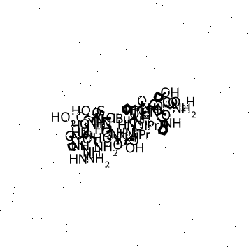 CC[C@H](C)[C@H](NC(=O)[C@@H](NC(=O)[C@@H](NC(=O)[C@H](CO)NC(=O)CNC(=O)[C@H](CC(=O)O)NC(=O)[C@H](CCC(=O)O)NC(=O)[C@H](CCCCN)NC(=O)[C@H](CCCNC(=N)N)NC(=O)[C@@H]1CCCN1)[C@@H](C)O)C(C)C)C(=O)N[C@@H](CC(C)C)C(=O)N[C@@H](Cc1ccccc1)C(=O)N[C@@H](Cc1ccc(O)cc1)C(=O)N[C@@H](Cc1c[nH]c2ccccc12)C(=O)N[C@@H](CC(N)=O)C(=O)O